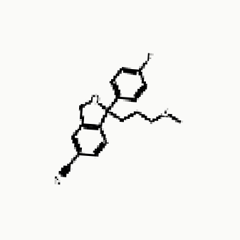 CSCCCC1(c2ccc(F)cc2)OCc2cc(C#N)ccc21